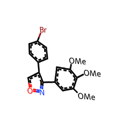 COc1cc(-c2nocc2-c2ccc(Br)cc2)cc(OC)c1OC